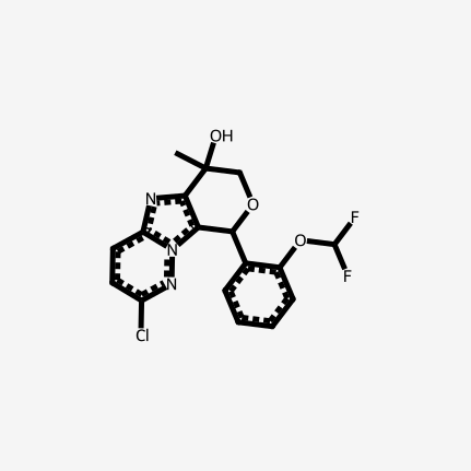 CC1(O)COC(c2ccccc2OC(F)F)c2c1nc1ccc(Cl)nn21